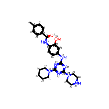 Cc1ccc(C(=O)Nc2ccc(Nc3nc(N4CCCCC4)nc(N4CCNCC4)n3)cc2O)cc1